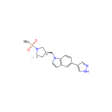 C[C@H]1C[C@H](Cn2ccc3cc(-c4cn[nH]c4)ccc32)CN1S(=O)(=O)C(C)(C)C